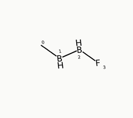 CBBF